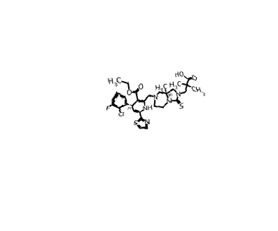 CCOC(=O)C1=C(CN2CCN3C(=S)N(CC(C)(C)C(=O)O)C[C@@]3(C)C2)NC(c2nccs2)=C[C@H]1c1cccc(F)c1Cl